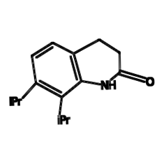 CC(C)c1ccc2c(c1C(C)C)NC(=O)CC2